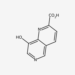 O=C(O)c1ccc2cncc(O)c2n1